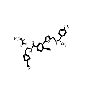 CNC(=O)C[C@@H](Cc1ccc(C#N)cc1)NC(=O)c1ccc(C#N)c(-c2ccc(CN[C@H](C)c3ccc(C)cc3)o2)c1